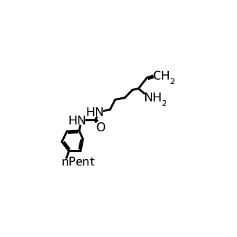 C=CC(N)CCCCNC(=O)Nc1ccc(CCCCC)cc1